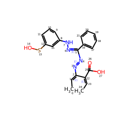 C/C=C(/N=N/C(=N/Nc1cccc(SO)c1)c1ccccc1)C(=C/C)\C(=O)O